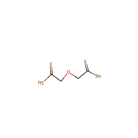 S=C(S)COCC(=S)S